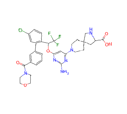 Nc1nc(OC(c2ccc(Cl)cc2-c2cccc(C(=O)N3CCOCC3)c2)C(F)(F)F)cc(N2CCC3(CC2)CNC(C(=O)O)C3)n1